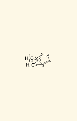 CC1(C)C2=CC=C1C=C2